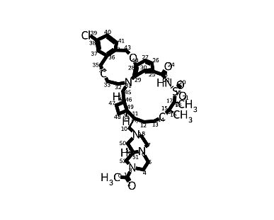 CC(=O)N1CCN2CCN(C[C@@H]3CCC[C@H](C)[C@@H](C)S(=O)(=O)NC(=O)c4ccc5c(c4)N(CCCCc4cc(Cl)ccc4CO5)C[C@@H]4CC[C@@H]34)C[C@@H]2C1